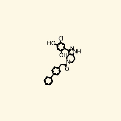 O=C(Cc1ccc(-c2ccccc2)cc1)N1CCc2[nH]nc(-c3cc(Cl)c(O)cc3O)c2C1